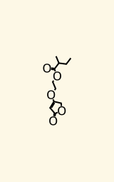 CCC(C)C(=O)OCCOC1=CC(=O)OC1